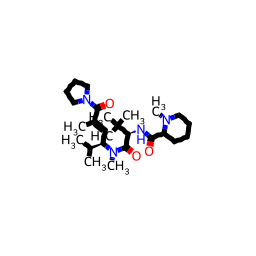 C/C(=C\[C@H](C(C)C)N(C)C(=O)[C@@H](NC(=O)C1CCCCN1C)C(C)(C)C)C(=O)N1CCCC1